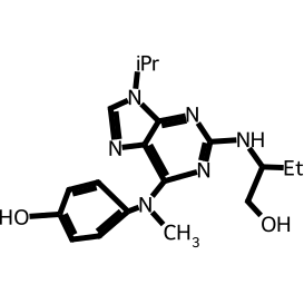 CCC(CO)Nc1nc(N(C)c2ccc(O)cc2)c2ncn(C(C)C)c2n1